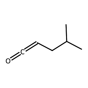 CC(C)CC=C=O